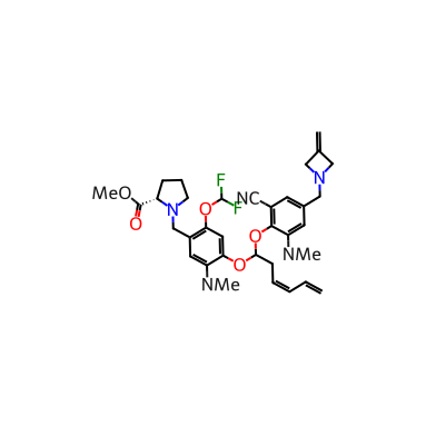 C=C/C=C\CC(Oc1cc(OC(F)F)c(CN2CCC[C@H]2C(=O)OC)cc1NC)Oc1c(C#N)cc(CN2CC(=C)C2)cc1NC